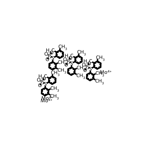 Cc1cccc(S(c2cccc(C)c2C)=P([O-])([O-])[O-])c1C.Cc1cccc(S(c2cccc(C)c2C)=P([O-])([O-])[O-])c1C.Cc1cccc(S(c2cccc(C)c2C)=P([O-])([O-])[O-])c1C.Cc1cccc(S(c2cccc(C)c2C)=P([O-])([O-])[O-])c1C.[Mo+4].[Mo+4].[Mo+4]